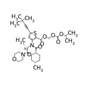 CC[C@@H](C(=O)N1CCOCC1)N(c1cc(C#CC(C)(C)C)sc1C(=O)OCOC(=O)OC(C)C)C(=O)[C@H]1CC[C@H](C)CC1